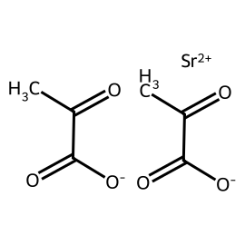 CC(=O)C(=O)[O-].CC(=O)C(=O)[O-].[Sr+2]